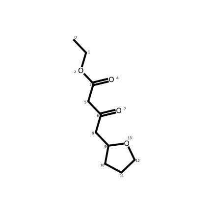 CCOC(=O)CC(=O)CC1CCCO1